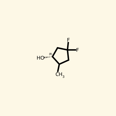 CC1CC(F)(F)C[C@H]1O